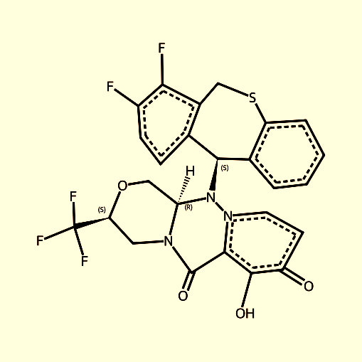 O=C1c2c(O)c(=O)ccn2N([C@@H]2c3ccccc3SCc3c2ccc(F)c3F)[C@@H]2CO[C@H](C(F)(F)F)CN12